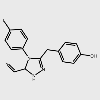 Oc1ccc(CC2=NNC(C=S)N2c2ccc(I)cc2)cc1